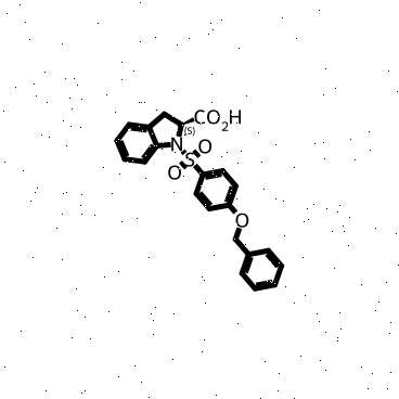 O=C(O)[C@@H]1Cc2ccccc2N1S(=O)(=O)c1ccc(OCc2ccccc2)cc1